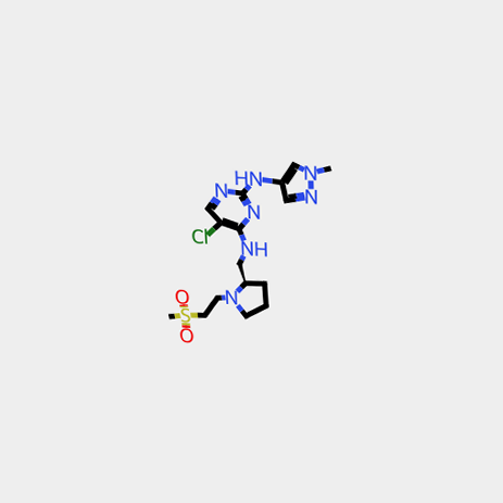 Cn1cc(Nc2ncc(Cl)c(NC[C@H]3CCCN3CCS(C)(=O)=O)n2)cn1